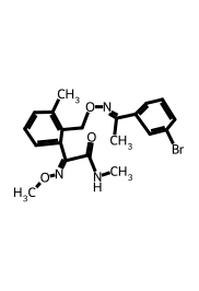 CNC(=O)/C(=N/OC)c1cccc(C)c1CO/N=C(\C)c1cccc(Br)c1